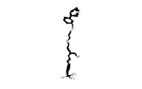 CC(C)(C)C#CC=CCC(=CCOCCOc1cccc(-c2ccsc2)c1)CO